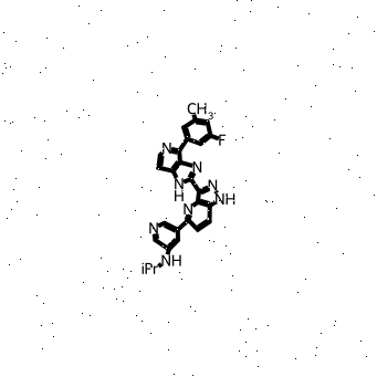 Cc1cc(F)cc(-c2nccc3[nH]c(-c4n[nH]c5ccc(-c6cncc(NC(C)C)c6)nc45)nc23)c1